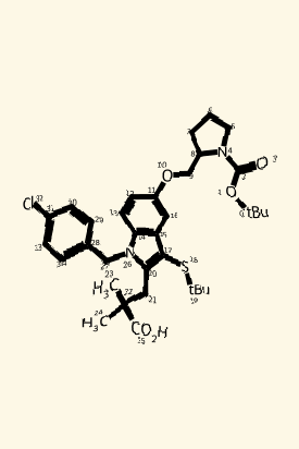 CC(C)(C)OC(=O)N1CCCC1COc1ccc2c(c1)c(SC(C)(C)C)c(CC(C)(C)C(=O)O)n2Cc1ccc(Cl)cc1